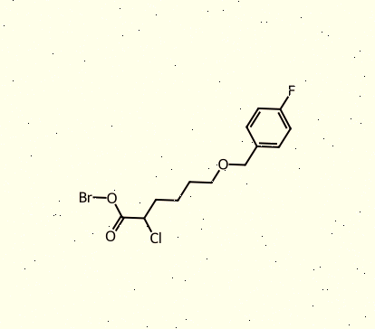 O=C(OBr)C(Cl)CCCCOCc1ccc(F)cc1